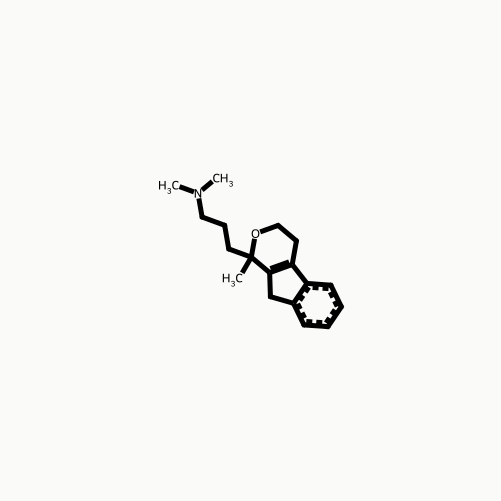 CN(C)CCCC1(C)OCCC2=C1Cc1ccccc12